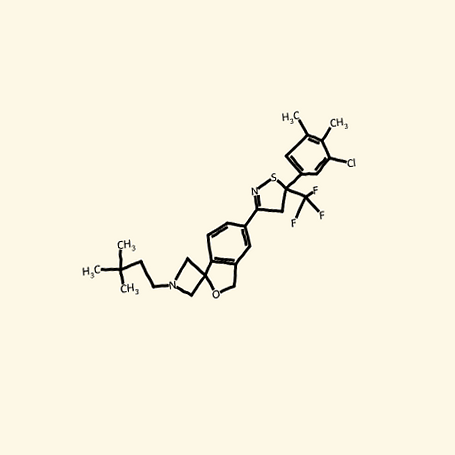 Cc1cc(C2(C(F)(F)F)CC(c3ccc4c(c3)COC43CN(CCC(C)(C)C)C3)=NS2)cc(Cl)c1C